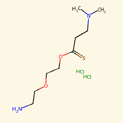 CN(C)CCC(=S)OCCOCCN.Cl.Cl